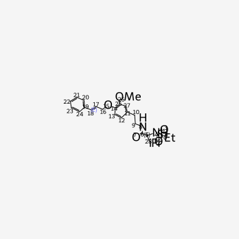 CCS(=O)(=O)N[C@H](C(=O)NCCc1ccc(OC/C=C/c2ccccc2)c(OC)c1)C(C)C